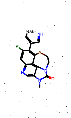 CN/C=C(\C=N)c1c(F)cc2ncc3c4c2c1SCCn4c(=O)n3C